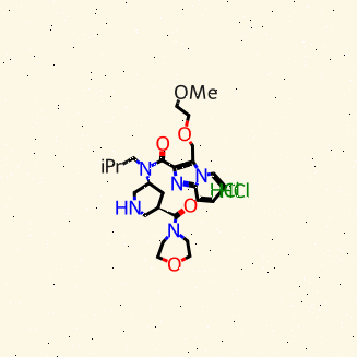 COCCOCc1c(C(=O)N(CC(C)C)[C@@H]2CNC[C@H](C(=O)N3CCOCC3)C2)nc2ccccn12.Cl.Cl